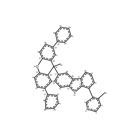 Cc1ccncc1-c1cccc2c1sc1ccc(C3(C)c4cc(-c5ccccc5)ccc4Oc4ccc(-c5ccccc5)cc43)cc12